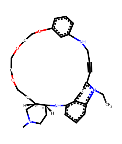 CN1CC[C@H]2Nc3cccc4c3cc(n4CC(F)(F)F)C#CCNc3cccc(c3)OCCOCCOCC[C@H]2C1